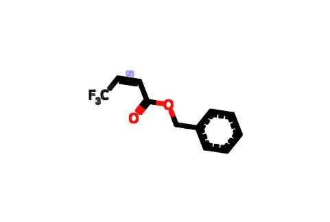 O=C(/C=C\C(F)(F)F)OCc1ccccc1